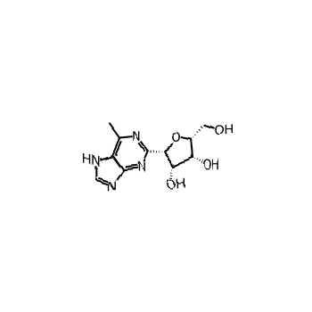 Cc1nc([C@@H]2O[C@H](CO)[C@H](O)[C@@H]2O)nc2nc[nH]c12